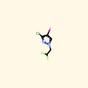 FC(F)Cn1cc(I)c(Cl)n1